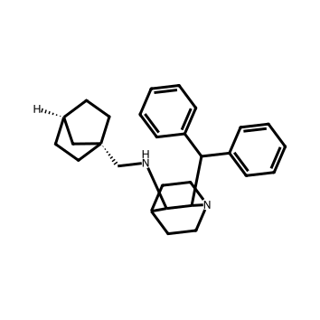 c1ccc(C(c2ccccc2)C2C(NC[C@]34CC[C@H](CC3)C4)C3CCN2CC3)cc1